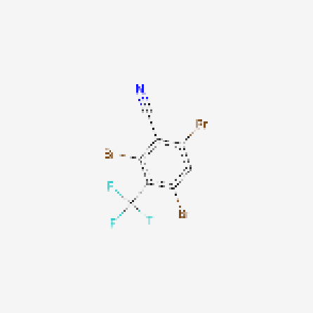 N#Cc1c(Br)cc(Br)c(C(F)(F)F)c1Br